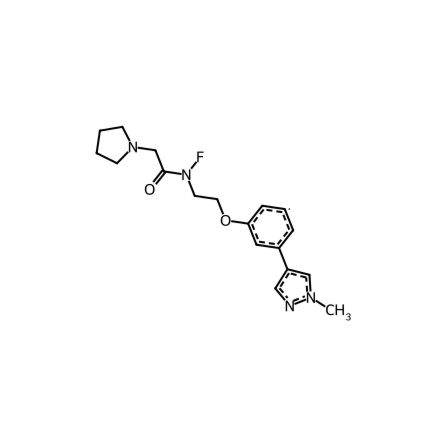 Cn1cc(-c2c[c]cc(OCCN(F)C(=O)CN3CCCC3)c2)cn1